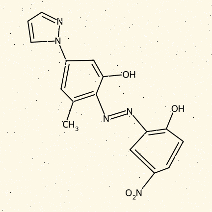 Cc1cc(-n2cccn2)cc(O)c1/N=N/c1cc([N+](=O)[O-])ccc1O